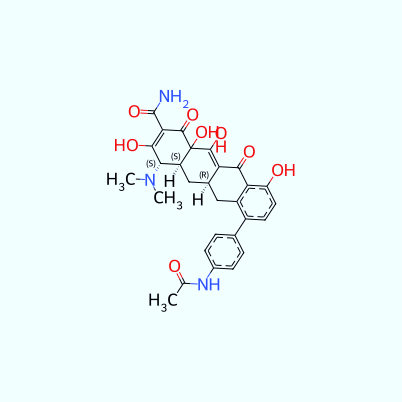 CC(=O)Nc1ccc(-c2ccc(O)c3c2C[C@H]2C[C@H]4[C@H](N(C)C)C(O)=C(C(N)=O)C(=O)C4(O)C(O)=C2C3=O)cc1